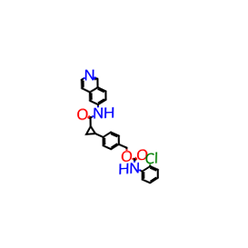 O=C(Nc1ccccc1Cl)OCc1ccc(C2CC2C(=O)Nc2ccc3cnccc3c2)cc1